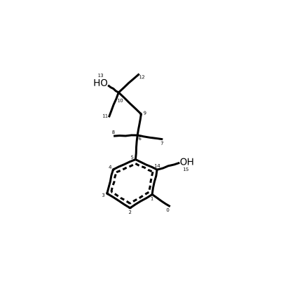 Cc1cccc(C(C)(C)CC(C)(C)O)c1O